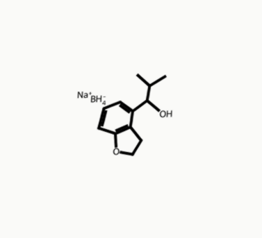 CC(C)C(O)c1cccc2c1CCO2.[BH4-].[Na+]